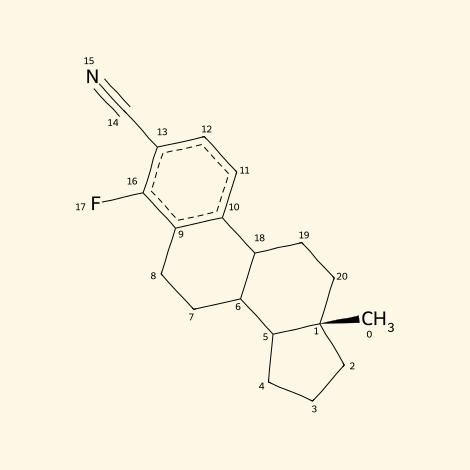 C[C@@]12CCCC1C1CCc3c(ccc(C#N)c3F)C1CC2